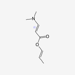 CC=COC(=O)/C=C/N(C)C